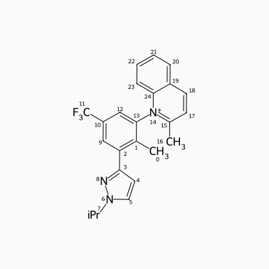 Cc1c(-c2ccn(C(C)C)n2)cc(C(F)(F)F)cc1-[n+]1c(C)ccc2ccccc21